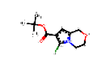 CC(C)(C)OC(=O)c1cc2n(c1F)CCOC2